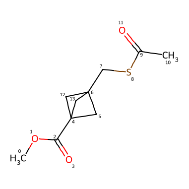 COC(=O)C12CC(CSC(C)=O)(C1)C2